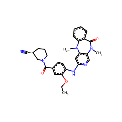 CCOc1cc(C(=O)N2CCC[C@@H](C#N)C2)ccc1Nc1cc2c(cn1)N(C)C(=O)c1ccccc1N2C